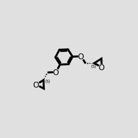 c1cc(OC[C@@H]2CO2)cc(OC[C@@H]2CO2)c1